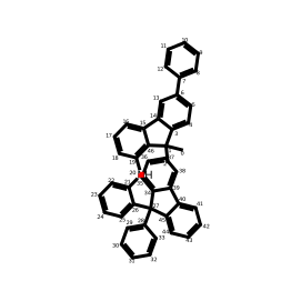 CC1(C)c2ccc(-c3ccccc3)cc2-c2cccc(Nc3ccccc3C3(c4ccccc4)c4ccccc4-c4ccccc43)c21